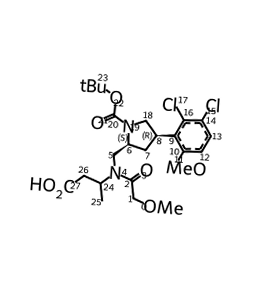 COCC(=O)N(C[C@@H]1C[C@H](c2c(OC)ccc(Cl)c2Cl)CN1C(=O)OC(C)(C)C)C(C)CC(=O)O